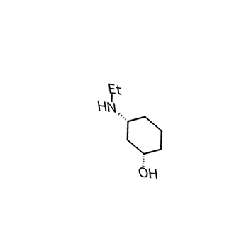 CCN[C@@H]1CCC[C@H](O)C1